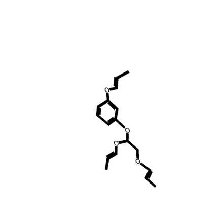 CC=COCC(OC=CC)Oc1cccc(OC=CC)c1